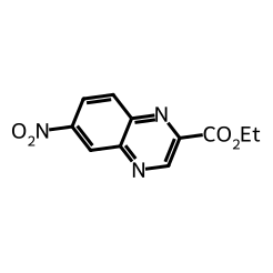 CCOC(=O)c1cnc2cc([N+](=O)[O-])ccc2n1